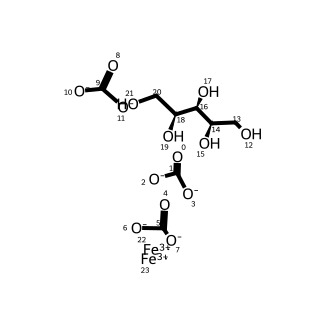 O=C([O-])[O-].O=C([O-])[O-].O=C([O-])[O-].OC[C@@H](O)[C@H](O)[C@@H](O)CO.[Fe+3].[Fe+3]